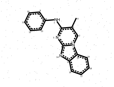 Cc1cn2c(nc1Nc1ccccc1)nc1ccccc12